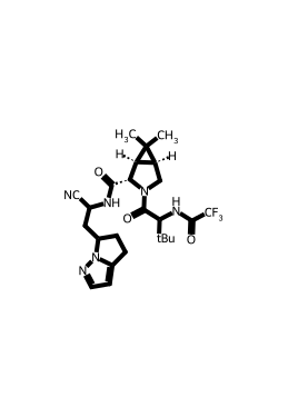 CC(C)(C)C(NC(=O)C(F)(F)F)C(=O)N1C[C@H]2[C@@H]([C@H]1C(=O)NC(C#N)CC1CCc3ccnn31)C2(C)C